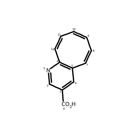 O=C(O)c1cnc2c(c1)\C=C/C=C\C=C/2